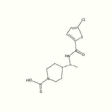 CC(NC(=O)c1ccc(Cl)s1)C1CCN(C(=O)O)CC1